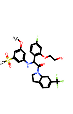 COc1cc(NC(C(=O)N2CCC3=CC=C(C(F)(F)F)CC32)c2ccc(F)cc2OCCO)cc(S(C)(=O)=O)c1